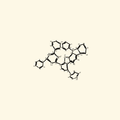 c1ccc(-c2nc(-c3ccccc3)nc(-c3ccc(-c4ccncc4)c4c3oc3c4ccc4c5ccccc5n(-c5ccccc5)c43)n2)cc1